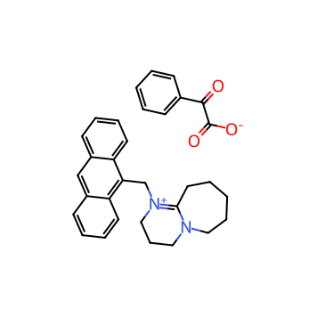 O=C([O-])C(=O)c1ccccc1.c1ccc2c(C[N+]3=C4CCCCCN4CCC3)c3ccccc3cc2c1